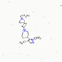 Cc1cnn(C)c1C1CCN(C2CC3(CCN(C(=O)O)C3)C2)CC1